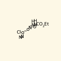 CCOC(=O)CNC(=O)NC1CCN(c2ccc(C=Cc3cc(Cl)cc(Cn4ccnc4)c3)cc2)CC1